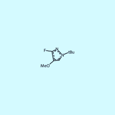 COc1cn(C(C)(C)C)nc1F